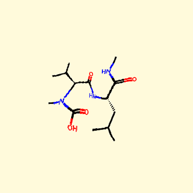 CNC(=O)[C@H](CC(C)C)NC(=O)[C@H](C(C)C)N(C)C(=O)O